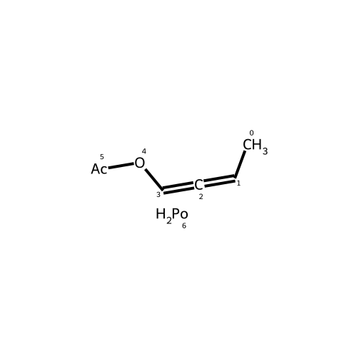 CC=C=COC(C)=O.[PoH2]